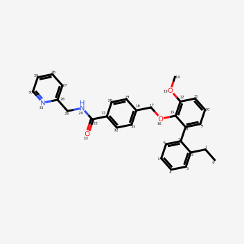 CCc1ccccc1-c1cccc(OC)c1OCc1ccc(C(=O)NCc2ccccn2)cc1